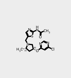 CC(=O)Nc1ncc(CN2C[C@H](Oc3cc(Cl)ncn3)C[C@@H]2C)s1